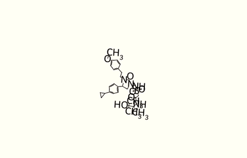 COc1ccc(CCN2C(=O)N(NS(=O)(=O)CC(=O)NC(C)C(C)(C)O)CC2c2ccc(C3CC3)cc2)cc1